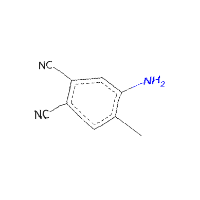 Cc1cc(C#N)c(C#N)cc1N